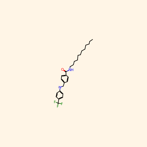 CCCCCCCCCCCCNC(=O)c1ccc(C[N]c2ccc(C(F)(F)F)cc2)cc1